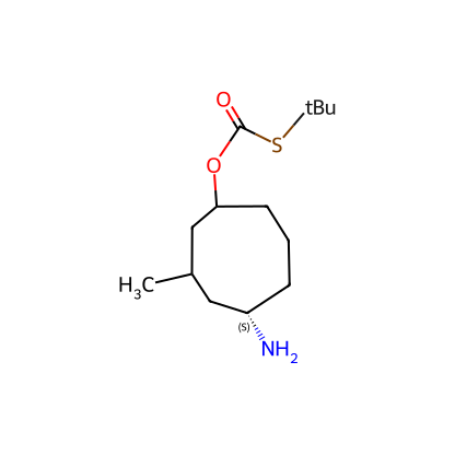 CC1CC(OC(=O)SC(C)(C)C)CCC[C@H](N)C1